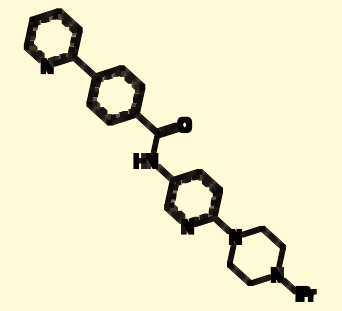 CC(C)N1CCN(c2ccc(NC(=O)c3ccc(-c4ccccn4)cc3)cn2)CC1